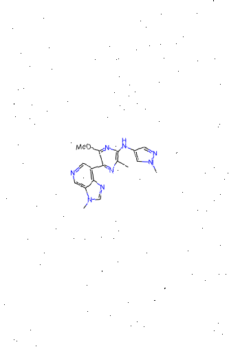 COc1nc(Nc2cnn(C)c2)c(C)nc1-c1cncc2c1ncn2C